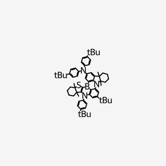 CC(C)(C)c1ccc(N2C3=C(SC4(C)CCCCC34C)B3c4cc(N(c5ccc(C(C)(C)C)cc5)c5ccc(C(C)(C)C)cc5)cc5c4N(c4cc(C(C)(C)C)cc2c43)C2(C)CCCCC52C)cc1